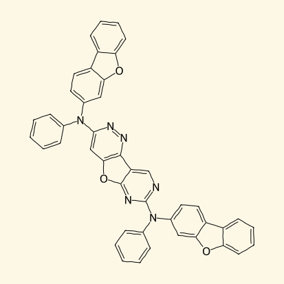 c1ccc(N(c2ccc3c(c2)oc2ccccc23)c2cc3oc4nc(N(c5ccccc5)c5ccc6c(c5)oc5ccccc56)ncc4c3nn2)cc1